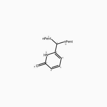 CCCCCC(CCCCC)c1cccc(=O)[nH]1